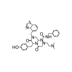 CN(C)CCN1CC(=O)N2C(Cc3ccc(O)cc3)C(=O)N(CC3=CC=CC4SC=NC34)CC2N1C(=O)NCc1ccccc1